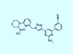 N#Cc1cccc(-c2cc(-c3cn(Cc4cccc(N5CCOCC5C(=O)O)n4)nn3)nc(N)n2)c1